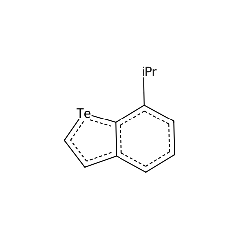 CC(C)c1cccc2cc[te]c12